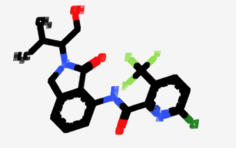 CC(C)C(CO)N1Cc2cccc(NC(=O)c3nc(Cl)ccc3C(F)(F)F)c2C1=O